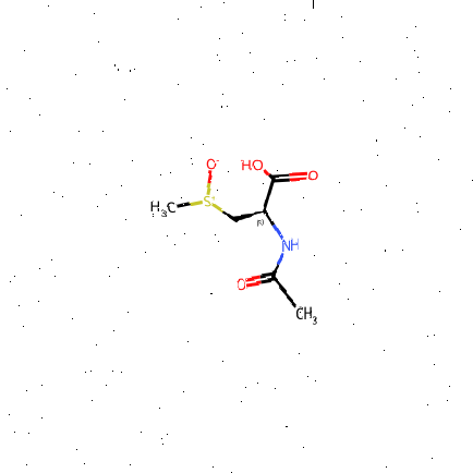 CC(=O)N[C@@H](C[S+](C)[O-])C(=O)O